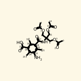 CC(=O)OCC(COC(C)=O)(COC(C)=O)NC(=O)c1c(I)c(N)c(I)c(C(=O)O)c1I